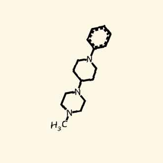 CN1CCN(C2CCN(c3ccccc3)CC2)CC1